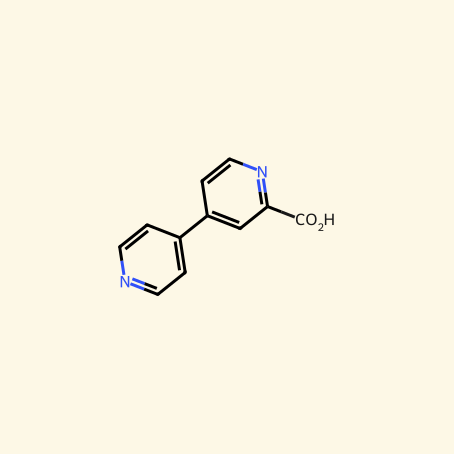 O=C(O)c1cc(-c2ccncc2)ccn1